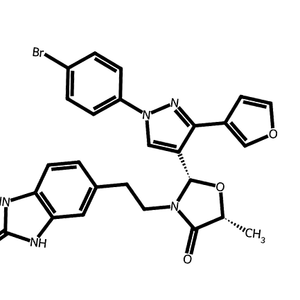 C[C@H]1O[C@@H](c2cn(-c3ccc(Br)cc3)nc2-c2ccoc2)N(CCc2ccc3[nH]c(=O)[nH]c3c2)C1=O